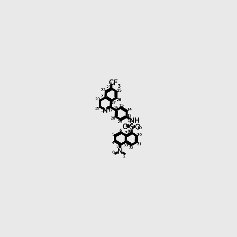 CN(C)c1cccc2c(S(=O)(=O)Nc3ccc(C4=NCCc5cc(C(F)(F)F)ccc54)cc3)cccc12